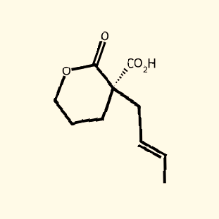 C/C=C/C[C@@]1(C(=O)O)CCCOC1=O